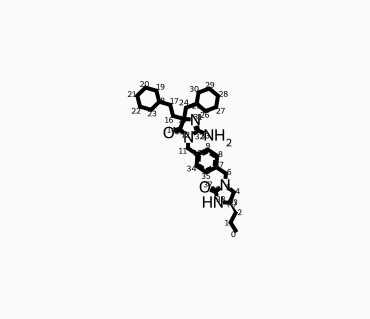 CCC[C@@H]1CN(Cc2ccc(CN3C(=O)C(CCC4CCCCC4)(CC4CCCCC4)N=C3N)cc2)C(=O)N1